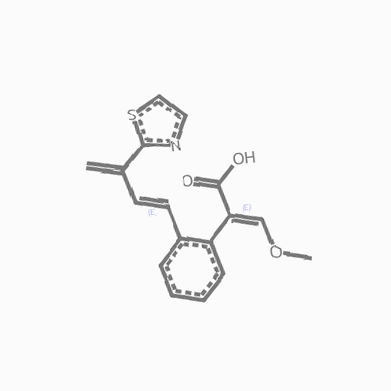 C=C(/C=C/c1ccccc1/C(=C\OC)C(=O)O)c1nccs1